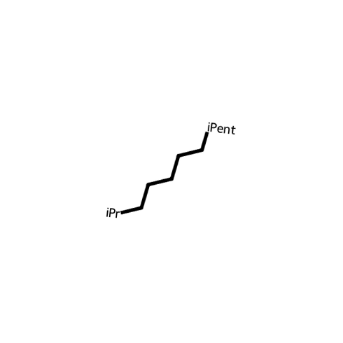 CCCC(C)CCCCCC(C)C